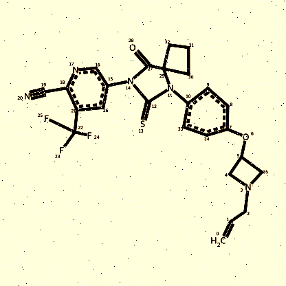 C=CCN1CC(Oc2ccc(N3C(=S)N(c4cnc(C#N)c(C(F)(F)F)c4)C(=O)C34CCC4)cc2)C1